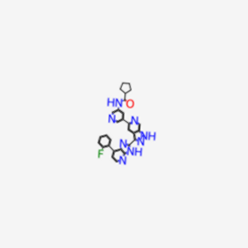 O=C(Nc1cncc(-c2cc3c(-c4nc5c(-c6ccccc6F)ccnc5[nH]4)n[nH]c3cn2)c1)C1CCCC1